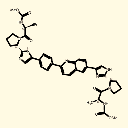 COC(=O)N[C@@H](C)C(=O)N1CCC[C@H]1c1nc(-c2ccc3nc(-c4ccc(-c5cnc([C@@H]6CCCN6C(=O)[C@@H](NC(=O)OC)C(C)C)[nH]5)cc4)ccc3c2)c[nH]1